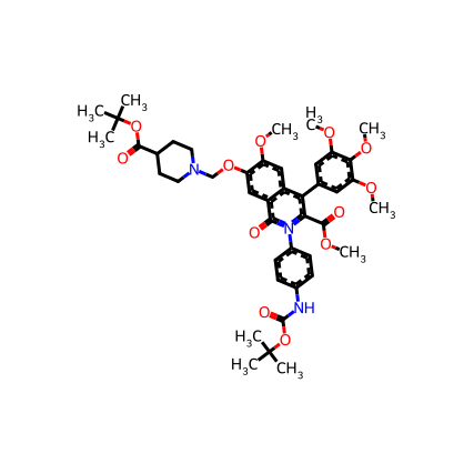 COC(=O)c1c(-c2cc(OC)c(OC)c(OC)c2)c2cc(OC)c(OCN3CCC(C(=O)OC(C)(C)C)CC3)cc2c(=O)n1-c1ccc(NC(=O)OC(C)(C)C)cc1